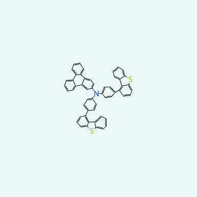 c1ccc2c(c1)sc1cccc(-c3ccc(N(c4ccc(-c5cccc6sc7ccccc7c56)cc4)c4ccc5c6ccccc6c6ccccc6c5c4)cc3)c12